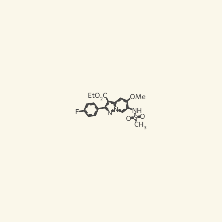 CCOC(=O)c1c(-c2ccc(F)cc2)nn2cc(NS(C)(=O)=O)c(OC)cc12